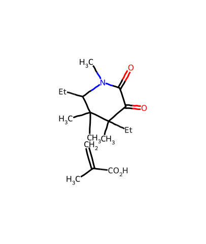 C=C(C)C(=O)O.CCC1N(C)C(=O)C(=O)C(C)(CC)C1(C)C